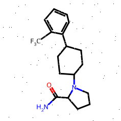 NC(=O)C1[CH]CCN1C1CCC(c2ccccc2C(F)(F)F)CC1